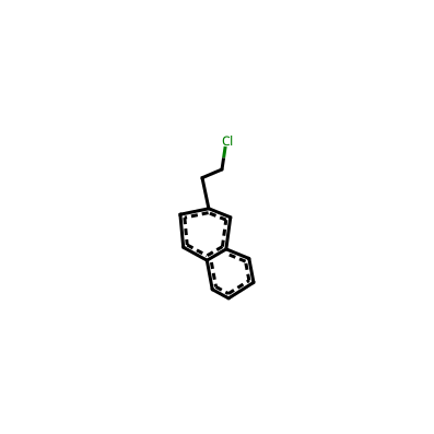 ClCCc1ccc2ccccc2c1